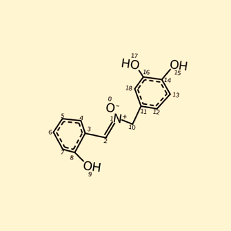 [O-]/[N+](=C\c1ccccc1O)Cc1ccc(O)c(O)c1